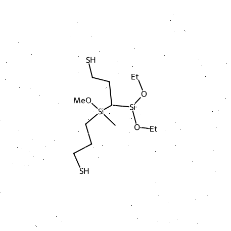 CCO[Si](OCC)C(CCS)[Si](C)(CCCS)OC